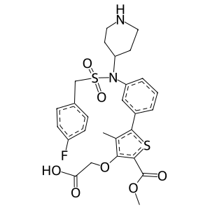 COC(=O)c1sc(-c2cccc(N(C3CCNCC3)S(=O)(=O)Cc3ccc(F)cc3)c2)c(C)c1OCC(=O)O